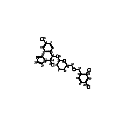 Clc1ccc(C(OC2CCCC(COCc3ccc(Cl)cc3Cl)O2)C(Cl)n2ccnc2)cc1